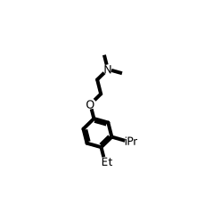 CCc1ccc(OCCN(C)C)cc1C(C)C